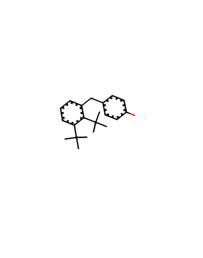 CC(C)(C)c1cccc(Cc2ccc(O)cc2)c1C(C)(C)C